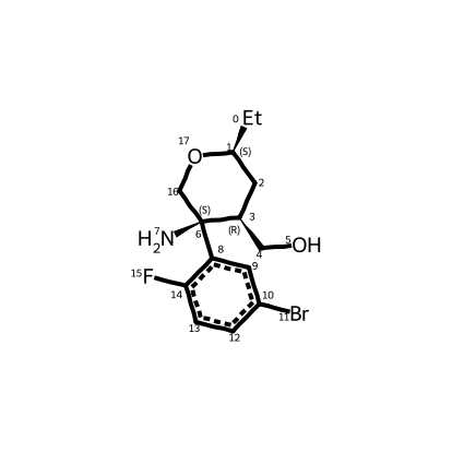 CC[C@H]1C[C@@H](CO)[C@](N)(c2cc(Br)ccc2F)CO1